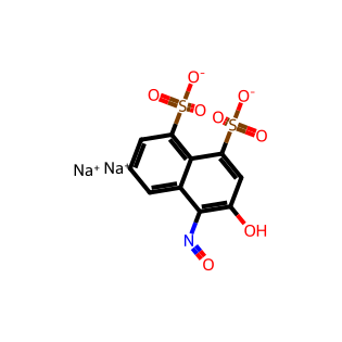 O=Nc1c(O)cc(S(=O)(=O)[O-])c2c(S(=O)(=O)[O-])cccc12.[Na+].[Na+]